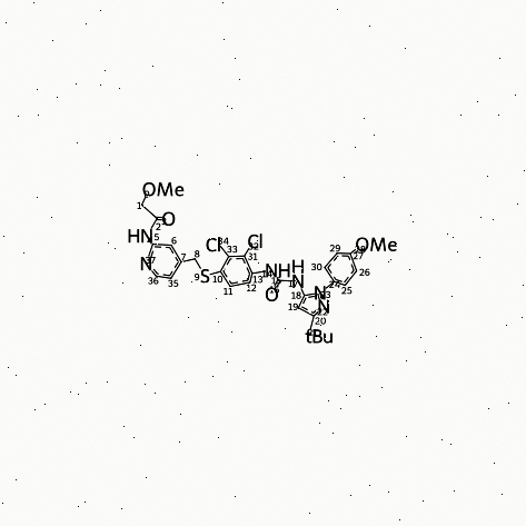 COCC(=O)Nc1cc(CSc2ccc(NC(=O)Nc3cc(C(C)(C)C)nn3-c3ccc(OC)cc3)c(Cl)c2Cl)ccn1